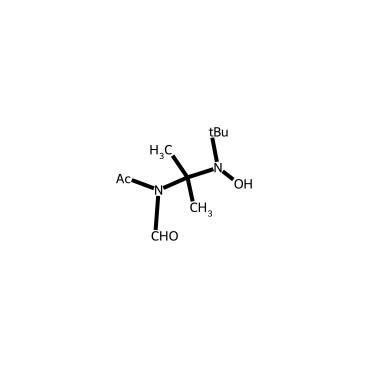 CC(=O)N(C=O)C(C)(C)N(O)C(C)(C)C